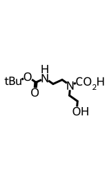 CC(C)(C)OC(=O)NCCN(CCO)C(=O)O